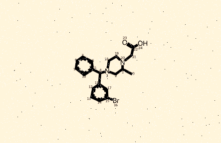 CC1CN(C(c2ccccc2)c2cccc(Br)c2)CCN1CC(=O)O